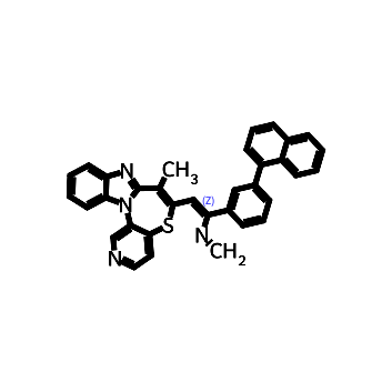 C=N/C(=C\C1=C(C)c2nc3ccccc3n2-c2cnccc2S1)c1cccc(-c2cccc3ccccc23)c1